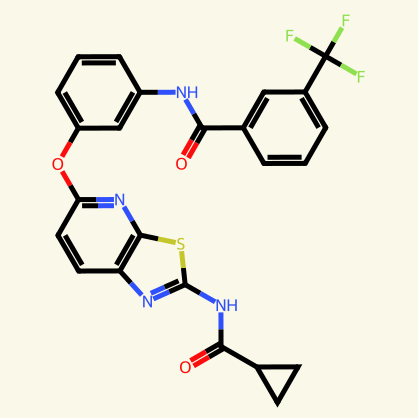 O=C(Nc1cccc(Oc2ccc3nc(NC(=O)C4CC4)sc3n2)c1)c1cccc(C(F)(F)F)c1